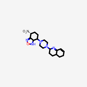 O=[N+]([O-])[C@@H]1CCC(N2CCN(C3CCC4CCC=CC4=N3)CC2)C2NON=C21